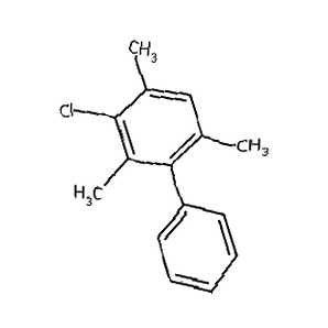 Cc1cc(C)c(-c2ccccc2)c(C)c1Cl